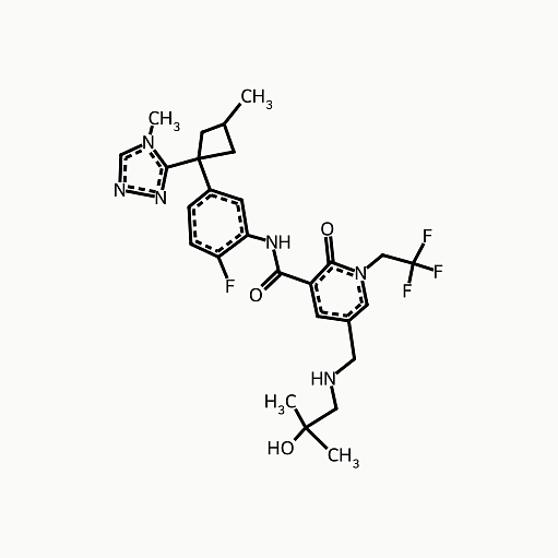 CC1CC(c2ccc(F)c(NC(=O)c3cc(CNCC(C)(C)O)cn(CC(F)(F)F)c3=O)c2)(c2nncn2C)C1